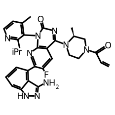 C=CC(=O)N1CCN(c2nc(=O)n(-c3c(C)ccnc3C(C)C)c3nc(-c4cccc5[nH]nc(N)c45)c(F)cc23)[C@@H](C)C1